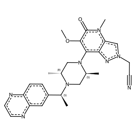 COc1c(N2C[C@@H](C)N([C@@H](C)c3ccc4nccnc4c3)C[C@@H]2C)c2nn(CC#N)cc2n(C)c1=O